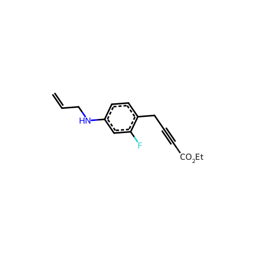 C=CCNc1ccc(CC#CC(=O)OCC)c(F)c1